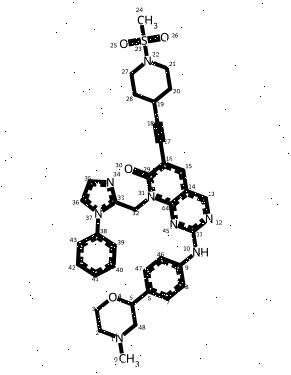 CN1CCOC(c2ccc(Nc3ncc4cc(C#CC5CCN(S(C)(=O)=O)CC5)c(=O)n(Cc5nccn5-c5ccccc5)c4n3)cc2)C1